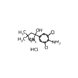 CC(C)(C)CC(N)(O)c1cc(Cl)c(N)c(Cl)c1.Cl